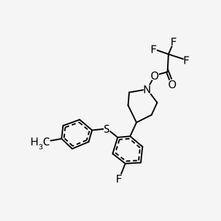 Cc1ccc(Sc2cc(F)ccc2C2CCN(OC(=O)C(F)(F)F)CC2)cc1